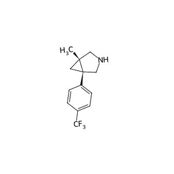 C[C@@]12CNC[C@]1(c1ccc(C(F)(F)F)cc1)C2